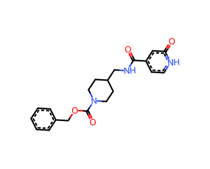 O=C(NCC1CCN(C(=O)OCc2ccccc2)CC1)c1cc[nH]c(=O)c1